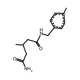 Cc1ccc(CNC(=O)[CH]C(C)CC(N)=O)cc1